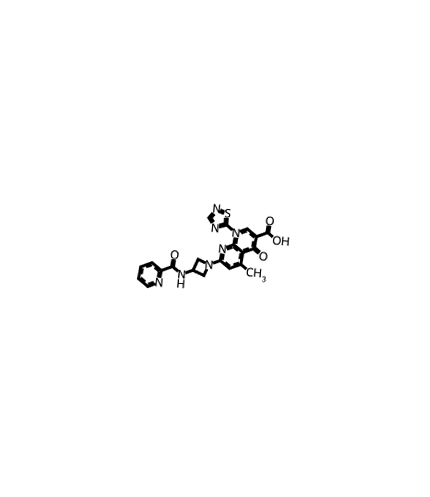 Cc1cc(N2CC(NC(=O)c3ccccn3)C2)nc2c1c(=O)c(C(=O)O)cn2-c1ncns1